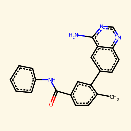 Cc1ccc(C(=O)Nc2ccccc2)cc1-c1ccc2ncnc(N)c2c1